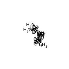 CCOC(=O)C(=CNc1nc(NC=C(C(=O)OCC)C(=O)OCC)c2ccccc2n1)C(=O)OCC